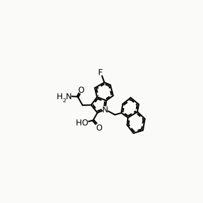 NC(=O)Cc1c(C(=O)O)n(Cc2cccc3ccccc23)c2ccc(F)cc12